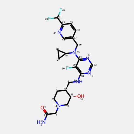 NC(=O)CN1CC[C@@H](CNc2ncnc(N(Cc3ccc(C(F)F)nc3)C3CC3)c2F)[C@H](O)C1